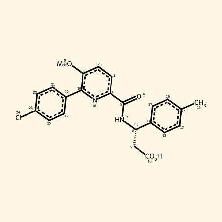 COc1ccc(C(=O)N[C@@H](CC(=O)O)c2ccc(C)cc2)nc1-c1ccc(Cl)cc1